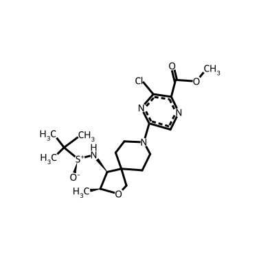 COC(=O)c1ncc(N2CCC3(CC2)CO[C@@H](C)[C@H]3N[S@@+]([O-])C(C)(C)C)nc1Cl